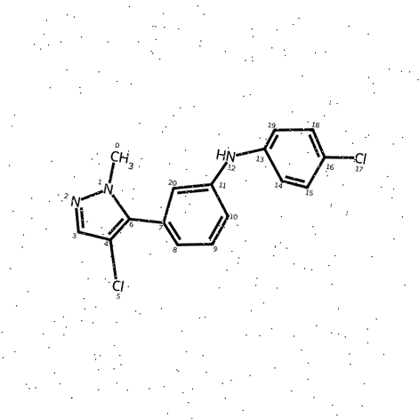 Cn1ncc(Cl)c1-c1cccc(Nc2ccc(Cl)cc2)c1